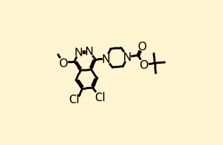 COc1nnc(N2CCN(C(=O)OC(C)(C)C)CC2)c2cc(Cl)c(Cl)cc12